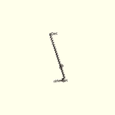 CCCCCCCCCCCCCCCCCCCCCCCCCCCCCCCCCCCCCCCC(=O)OCCCCCCCC/C=C\C[C@H](O)CCCCCC